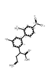 C=CCC(C(=O)O)c1cc(F)cc(-c2ccc([N+](=O)[O-])cc2N)c1